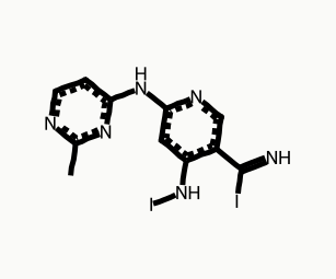 Cc1nccc(Nc2cc(NI)c(C(=N)I)cn2)n1